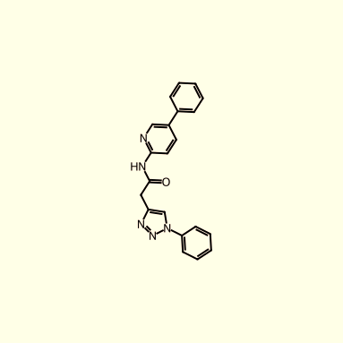 O=C(Cc1cn(-c2ccccc2)nn1)Nc1ccc(-c2ccccc2)cn1